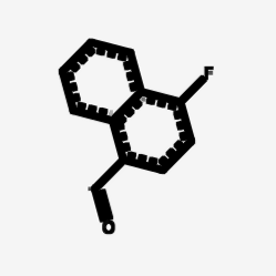 O=[C]c1ccc(F)c2ccccc12